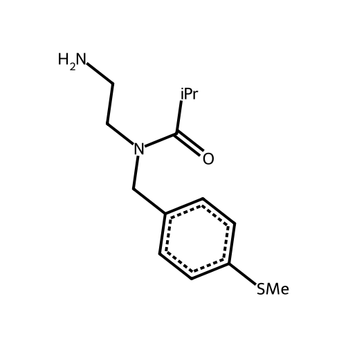 CSc1ccc(CN(CCN)C(=O)C(C)C)cc1